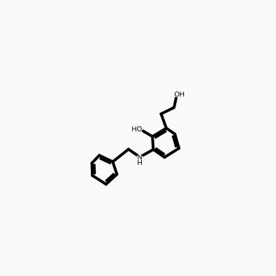 OCCc1cccc(NCc2ccccc2)c1O